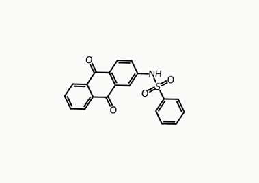 O=C1c2ccccc2C(=O)c2cc(NS(=O)(=O)c3ccccc3)ccc21